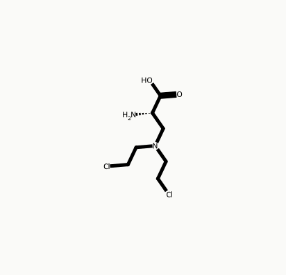 N[C@@H](CN(CCCl)CCCl)C(=O)O